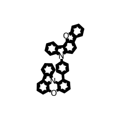 c1cc2c(c(-c3ccc(-n4c5ccccc5c5c6oc7ccccc7c6ccc54)cc3)c1)-n1c3ccccc3c3cccc(c31)O2